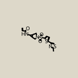 C=CC(=O)NC1C2CN(S(=O)(=O)c3ccc(-c4csc(C)n4)s3)CC21